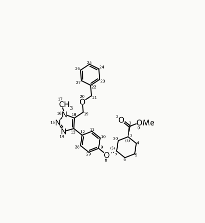 COC(=O)[C@H]1CCC[C@H](Oc2ccc(-c3nnn(C)c3COCc3ccccc3)cc2)C1